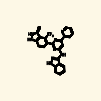 O=c1[nH][nH]c2ccc(-c3nc(Nc4n[nH]c5ccccc45)cc(-c4ccccn4)n3)c(C(F)(F)F)c12